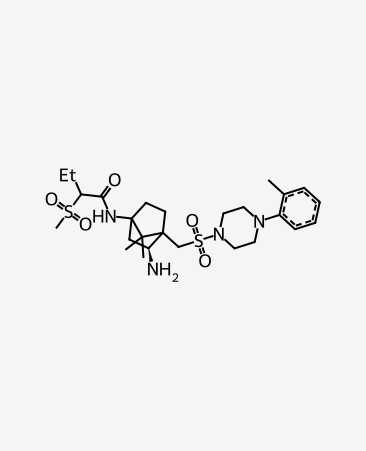 CCC(C(=O)NC12CCC(CS(=O)(=O)N3CCN(c4ccccc4C)CC3)([C@@H](N)C1)C2(C)C)S(C)(=O)=O